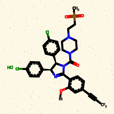 CCOc1cc(C#CC(F)(F)F)ccc1C1=N[C@@H](c2ccc(Cl)cc2)[C@@H](c2ccc(Cl)cc2)N1C(=O)N1CCN(CCS(C)(=O)=O)CC1.Cl